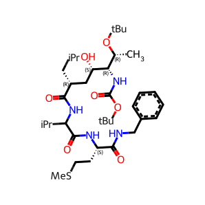 CSCC[C@H](NC(=O)C(NC(=O)[C@H](CC(C)C)C[C@H](O)[C@@H](NC(=O)OC(C)(C)C)[C@@H](C)OC(C)(C)C)C(C)C)C(=O)NCc1ccccc1